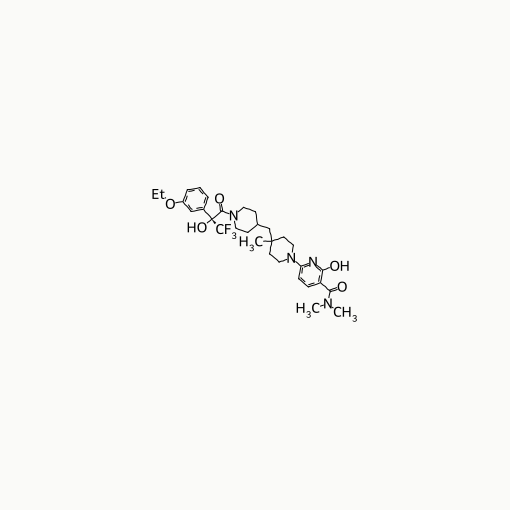 CCOc1cccc([C@@](O)(C(=O)N2CCC(CC3(C)CCN(c4ccc(C(=O)N(C)C)c(O)n4)CC3)CC2)C(F)(F)F)c1